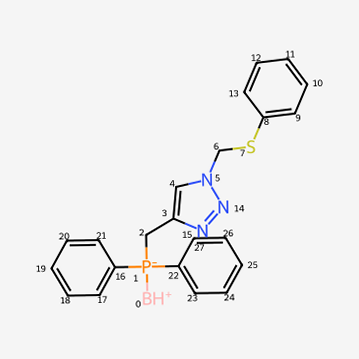 [BH+][P-](Cc1cn(CSc2ccccc2)nn1)(c1ccccc1)c1ccccc1